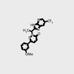 COc1cccc(-c2ccc(=O)n(C(C)c3nc4cc(C(F)(F)F)cnc4[nH]3)n2)c1